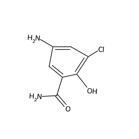 NC(=O)c1cc(N)cc(Cl)c1O